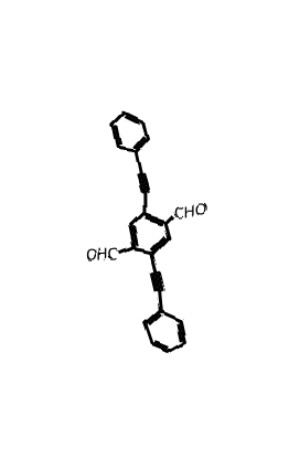 O=Cc1cc(C#Cc2ccccc2)c(C=O)cc1C#Cc1ccccc1